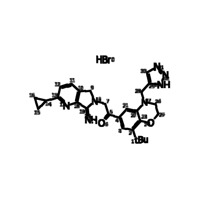 Br.CC(C)(C)c1cc(C(=O)CN2Cc3ccc(C4CC4)nc3C2=N)cc2c1OCCN2Cc1cnn[nH]1